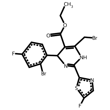 CCOC(=O)C1=C(CBr)NC(c2ncc(F)s2)=NC1c1ccc(F)cc1Br